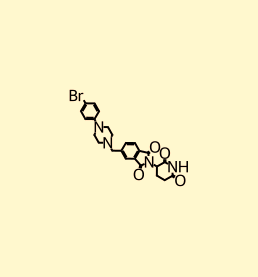 O=C1CCC(N2C(=O)c3ccc(CN4CCN(c5ccc(Br)cc5)CC4)cc3C2=O)C(=O)N1